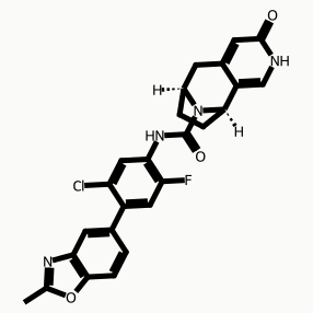 Cc1nc2cc(-c3cc(F)c(NC(=O)N4[C@H]5CC[C@@H]4c4c[nH]c(=O)cc4C5)cc3Cl)ccc2o1